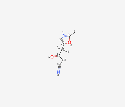 Cc1ncc(C(C)(C)C(=O)CC#N)o1